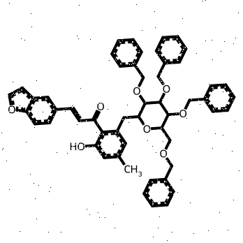 Cc1cc(O)c(C(=O)/C=C/c2ccc3occc3c2)c(CC2OC(COCc3ccccc3)C(OCc3ccccc3)C(OCc3ccccc3)C2OCc2ccccc2)c1